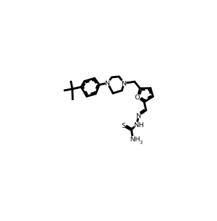 CC(C)(C)c1ccc(N2CCN(Cc3ccc(C=NNC(N)=S)o3)CC2)cc1